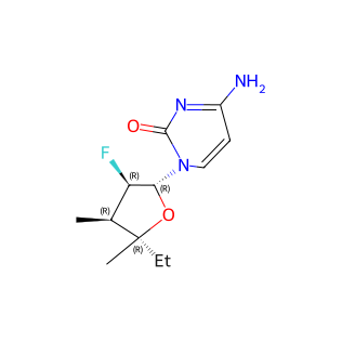 CC[C@@]1(C)O[C@@H](n2ccc(N)nc2=O)[C@H](F)[C@@H]1C